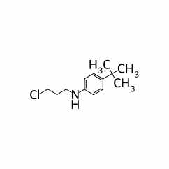 CC(C)(C)c1ccc(NCCCCl)cc1